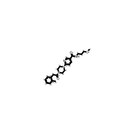 COCCCNC(=O)c1ccc(N2CCN(C(=O)Cc3ccccc3C)CC2)nc1